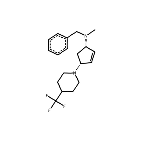 CN(Cc1ccccc1)[C@@H]1C=C[C@H](N2CCC(C(F)(F)F)CC2)C1